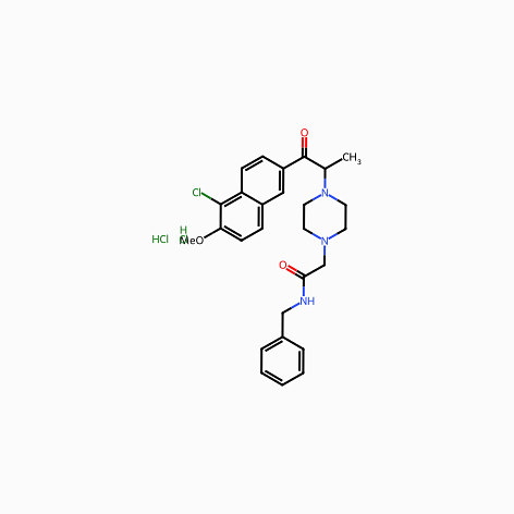 COc1ccc2cc(C(=O)C(C)N3CCN(CC(=O)NCc4ccccc4)CC3)ccc2c1Cl.Cl.Cl